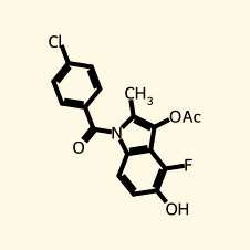 CC(=O)Oc1c(C)n(C(=O)c2ccc(Cl)cc2)c2ccc(O)c(F)c12